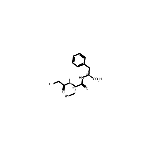 CC(C)C[C@H](NC(=O)CS)C(=O)N[C@@H](Cc1ccccc1)C(=O)O